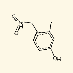 Cc1cc(O)ccc1C[SH](=O)=O